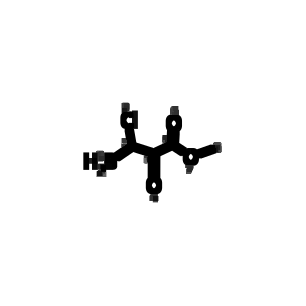 BC(Cl)C(=O)C(=O)OC